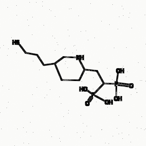 O=P(O)(O)C(CC1CCC(CCCS)CN1)P(=O)(O)O